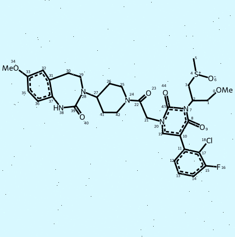 COCC(C[S+](C)[O-])n1c(=O)c(-c2cccc(F)c2Cl)cn(CC(=O)N2CCC(N3CCc4cc(OC)ccc4NC3=O)CC2)c1=O